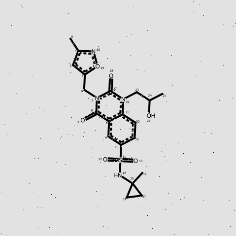 Cc1cc(Cn2c(=O)c3cc(S(=O)(=O)NC4(C)CC4)ccc3n(CC(C)O)c2=O)on1